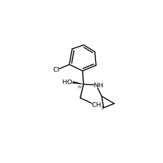 CC[C@@](O)(NC1CC1)c1ccccc1Cl